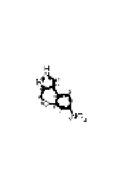 O=[N+]([O-])c1ccc2c(c1)OCc1n[nH]cc1-2